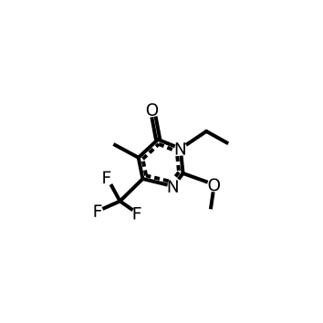 CCn1c(OC)nc(C(F)(F)F)c(C)c1=O